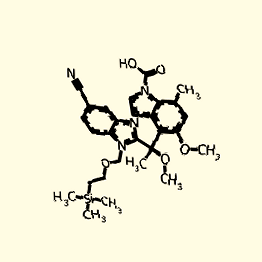 COc1cc(C)c2c(ccn2C(=O)O)c1C(C)(OC)c1nc2cc(C#N)ccc2n1COCC[Si](C)(C)C